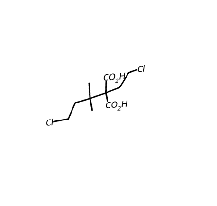 CC(C)(CCCl)C(CCCl)(C(=O)O)C(=O)O